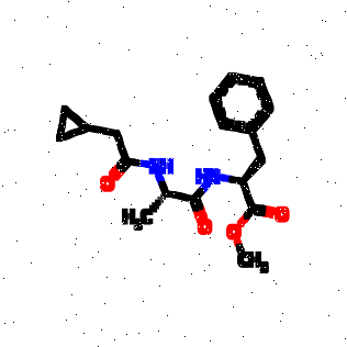 COC(=O)[C@H](Cc1ccccc1)NC(=O)[C@H](C)NC(=O)CC1CC1